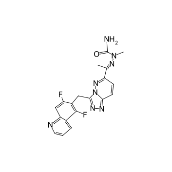 C/C(=N\N(C)C(N)=O)c1ccc2nnc(Cc3c(F)cc4ncccc4c3F)n2n1